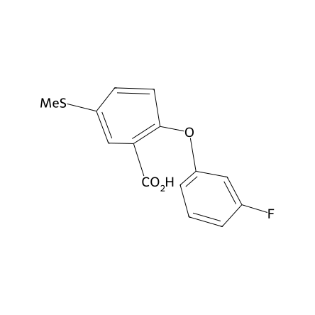 CSc1ccc(Oc2cccc(F)c2)c(C(=O)O)c1